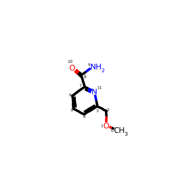 COCc1cc[c]c(C(N)=O)n1